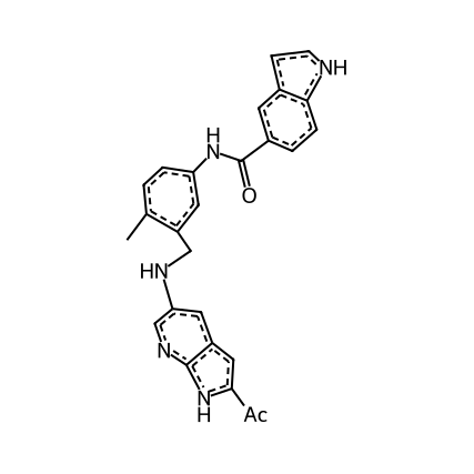 CC(=O)c1cc2cc(NCc3cc(NC(=O)c4ccc5[nH]ccc5c4)ccc3C)cnc2[nH]1